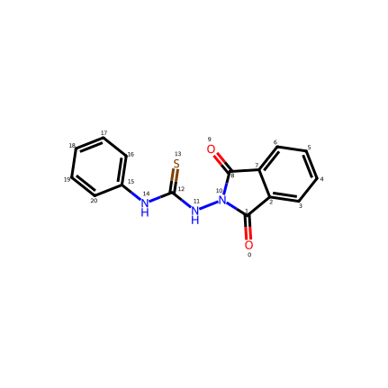 O=C1c2ccccc2C(=O)N1NC(=S)Nc1ccccc1